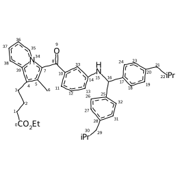 CCOC(=O)CCCc1c(C)c(C(=O)c2cccc(NC(c3ccc(CC(C)C)cc3)c3ccc(CC(C)C)cc3)c2)n2ccccc12